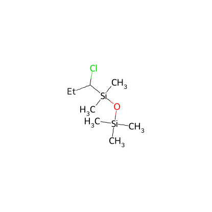 CCC(Cl)[Si](C)(C)O[Si](C)(C)C